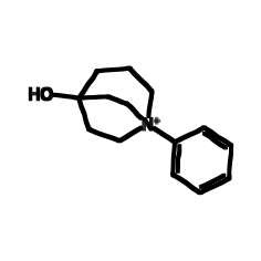 OC12CCC[N+](c3ccccc3)(CC1)CC2